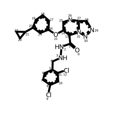 O=C(NNCc1ccc(Cl)cc1Cl)c1c(Oc2cccc(C3CC3)c2)cnc2cnnn12